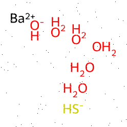 O.O.O.O.O.[Ba+2].[OH-].[SH-]